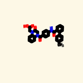 Cc1ccc(-c2ccccc2C(=O)Nc2ccc(C(=O)N3CC(=O)N(CC(=O)O)c4ccccc43)cc2)cc1